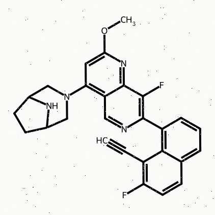 C#Cc1c(F)ccc2cccc(-c3ncc4c(N5CC6CCC(C5)N6)cc(OC)nc4c3F)c12